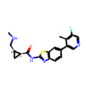 CNC[C@@H]1C[C@@H]1C(=O)Nc1nc2ccc(-c3cncc(F)c3C)cc2s1